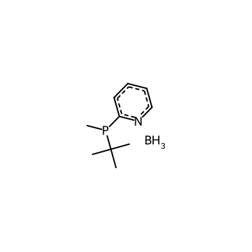 B.CP(c1ccccn1)C(C)(C)C